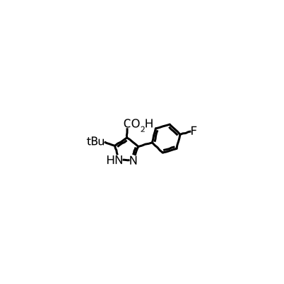 CC(C)(C)c1[nH]nc(-c2ccc(F)cc2)c1C(=O)O